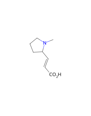 CN1CCCC1C=CC(=O)O